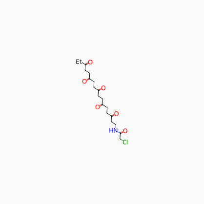 [CH2]CC(=O)CCC(=O)CCC(=O)CCC(=O)CCC(=O)CCNC(=O)CCl